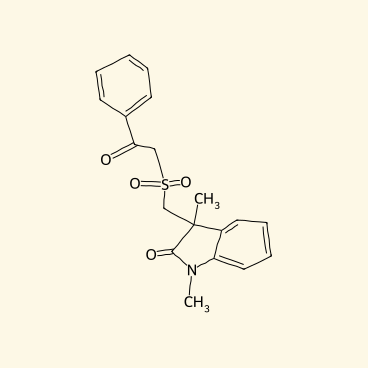 CN1C(=O)C(C)(CS(=O)(=O)CC(=O)c2ccccc2)c2ccccc21